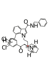 CCc1cccc2c(C(=O)NCc3ccccc3)cn(CCCN3[C@@H]4CC[C@H]3C[C@@H](CC(=O)c3ccc(Cl)c(Cl)c3)C4)c12